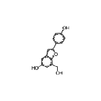 OCc1cc(O)cc2cc(-c3ccc(O)cc3)oc12